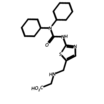 O=C(O)CNCc1cnc(NC(=O)N(C2CCCCC2)C2CCCCC2)s1